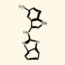 Nc1ccc2[nH]cc(Nc3nc4ccccc4[nH]3)c2c1